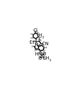 CCC(C(C)=CC#N)(c1ccc(Cl)cc1)n1ccc2c(NS(C)(=O)=O)cccc21